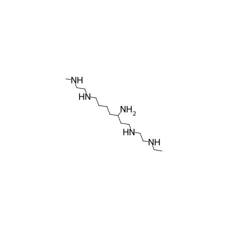 CCNCCNCCC(N)CCCCNCCNC